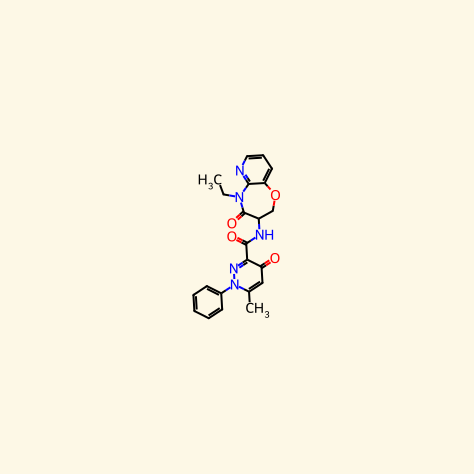 CCN1C(=O)C(NC(=O)c2nn(-c3ccccc3)c(C)cc2=O)COc2cccnc21